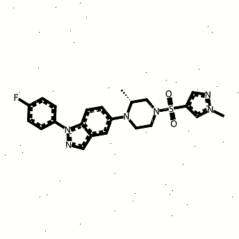 C[C@@H]1CN(S(=O)(=O)c2cnn(C)c2)CCN1c1ccc2c(cnn2-c2ccc(F)cc2)c1